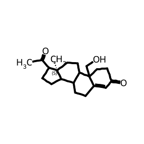 CC(=O)C1CCC2C3CCC4=CC(=O)CCC4(CO)C3CC[C@]12C